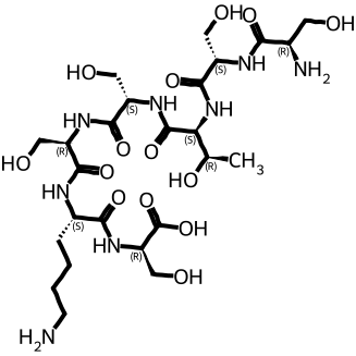 C[C@@H](O)[C@H](NC(=O)[C@H](CO)NC(=O)[C@H](N)CO)C(=O)N[C@@H](CO)C(=O)N[C@H](CO)C(=O)N[C@@H](CCCCN)C(=O)N[C@H](CO)C(=O)O